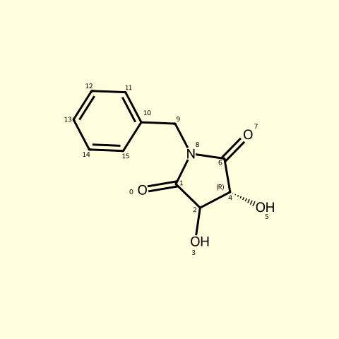 O=C1C(O)[C@@H](O)C(=O)N1Cc1ccccc1